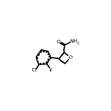 NC(=O)C1OC[C]1c1cccc(Cl)c1F